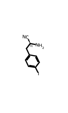 N#C[C@@H](N)Cc1ccc(I)cc1